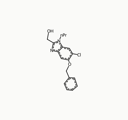 CCCn1c(CO)nc2cc(OCc3ccccc3)c(Cl)cc21